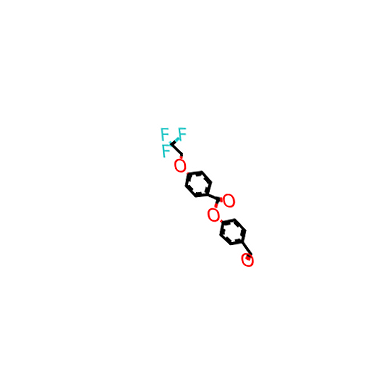 O=Cc1ccc(OC(=O)c2ccc(OCC(F)(F)F)cc2)cc1